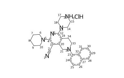 Cl.N#Cc1c(N2CCCCC2)nc(N2CCNCC2)c2c1CN(c1cccc3ccccc13)CC2